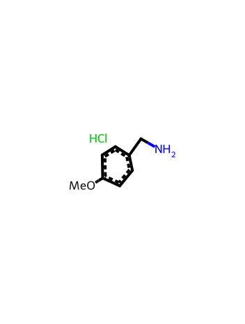 COc1ccc(CN)cc1.Cl